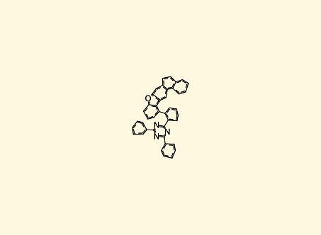 c1ccc(-c2nc(-c3ccccc3)nc(-c3ccccc3-c3cccc4oc5cc6ccc7ccccc7c6cc5c34)n2)cc1